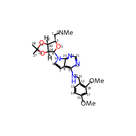 CNC[C@H]1O[C@@H](n2ccc3c(NCc4ccc(OC)cc4OC)ncnc32)[C@@H]2OC(C)(C)O[C@@H]21